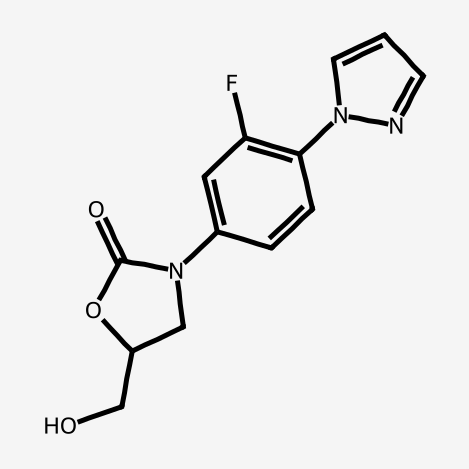 O=C1OC(CO)CN1c1ccc(-n2cccn2)c(F)c1